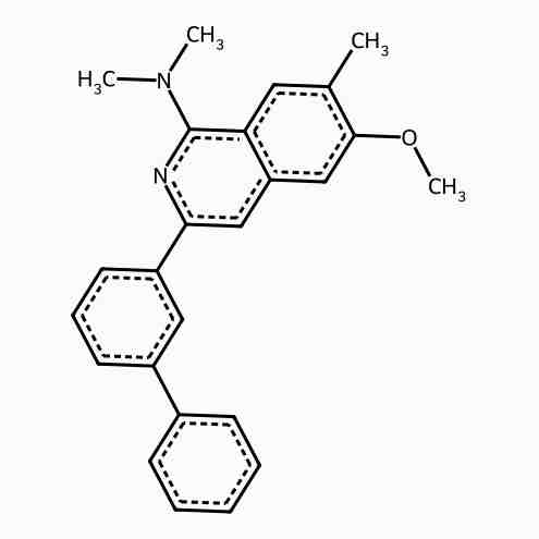 COc1cc2cc(-c3cccc(-c4ccccc4)c3)nc(N(C)C)c2cc1C